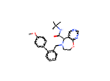 COc1ccc(-c2ccccc2CN2CCOc3ncncc3C2C(=O)NC(C)(C)C)cc1